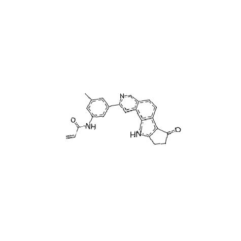 C=CC(=O)Nc1cc(C)cc(-c2cc3c(ccc4c5c([nH]c43)CCC5=O)cn2)c1